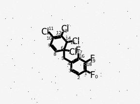 Fc1ccc(CC2(Cl)C=CC(Cl)=C(Cl)C2Cl)c(F)c1F